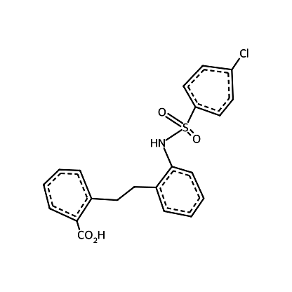 O=C(O)c1ccccc1CCc1ccccc1NS(=O)(=O)c1ccc(Cl)cc1